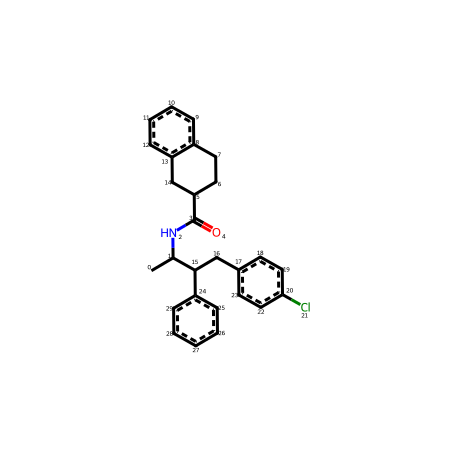 CC(NC(=O)C1CCc2ccccc2C1)C(Cc1ccc(Cl)cc1)c1ccccc1